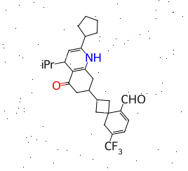 CC(C)C1C=C(C2CCCC2)NC2=C1C(=O)CC(C1CC3(CC(C(F)(F)F)=CC=C3C=O)C1)C2